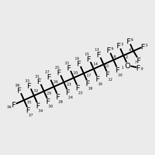 FOC(F)(C(F)(F)F)C(F)(F)C(F)(F)C(F)(F)C(F)(F)C(F)(F)C(F)(F)C(F)(F)C(F)(F)C(F)(F)C(F)(F)F